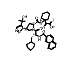 CC(C)(O)c1cnnn1[C@H]1C[C@@H](C(=O)NC2(C(=O)C(=O)O)CCCCC2)N(C(=O)[C@@H](CC2CCCCC2)NC(=O)c2ccc3ccccc3c2)C1